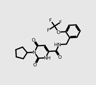 O=C(NCc1ccccc1OC(F)(F)F)c1cc(=O)n(C2CCCC2)c(=O)[nH]1